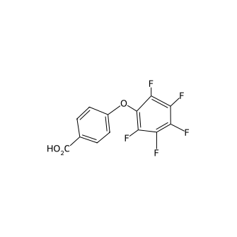 O=C(O)c1ccc(Oc2c(F)c(F)c(F)c(F)c2F)cc1